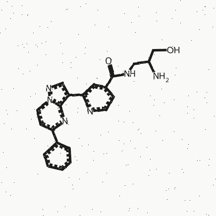 NC(CO)CNC(=O)c1ccnc(-c2cnn3ccc(-c4ccccc4)nc23)c1